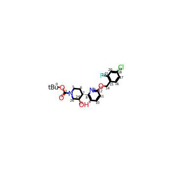 CC(C)(C)OC(=O)N1CC[C@H](c2cccc(OCc3ccc(Cl)cc3F)n2)[C@@H](O)C1